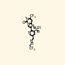 CCS(=O)(=O)c1cc(C=NOCC(F)(F)F)cnc1-c1cn2c(=O)n(C)c(C(F)(F)F)cc2n1